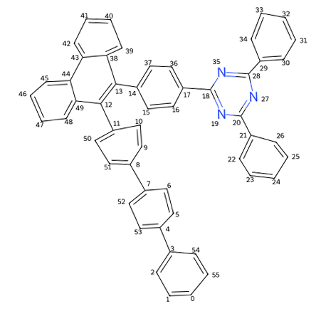 c1ccc(-c2ccc(-c3ccc(-c4c(-c5ccc(-c6nc(-c7ccccc7)nc(-c7ccccc7)n6)cc5)c5ccccc5c5ccccc45)cc3)cc2)cc1